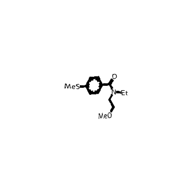 CCN(CCOC)C(=O)c1ccc(SC)cc1